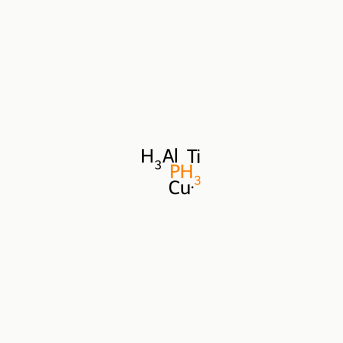 P.[AlH3].[Cu].[Ti]